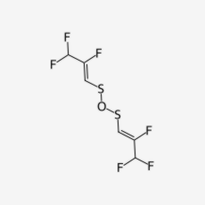 FC(=CSOSC=C(F)C(F)F)C(F)F